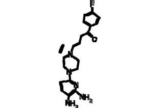 C=C.Nc1ccc(N2CCN(CCCC(=O)c3ccc(F)cc3)CC2)nc1N